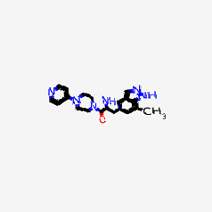 Cc1cc(CC(N)C(=O)N2CCN(c3ccncc3)CC2)cc2cn[nH]c12